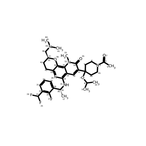 CC(=O)N1CCC(OC(C)C)(c2cc3c(N[C@H](C)c4cccc(C(F)F)c4F)nc4c(c3n(C)c2=O)O[C@H](CN(C)C)CC4)CC1